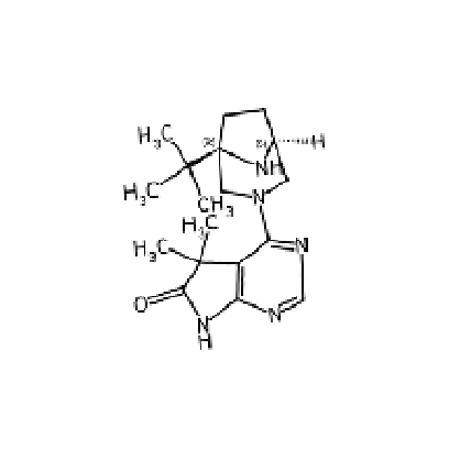 CC1(C)C(=O)Nc2ncnc(N3C[C@@H]4CC[C@@](C(C)(C)C)(C3)N4)c21